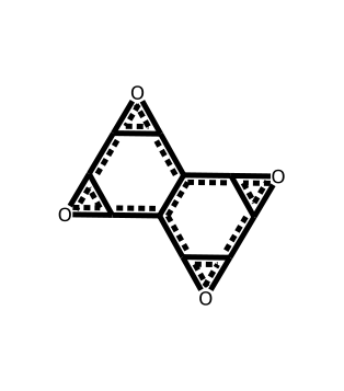 o1c2c3oc3c3c4oc4c4oc4c3c12